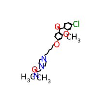 COc1cc(OCCCCCN2CCN(CC(=O)N(C)C)CC2)ccc1C(=O)c1ccc(Cl)cc1